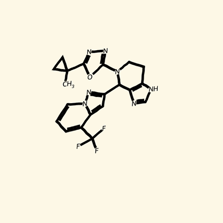 CC1(c2nnc(N3CCc4[nH]cnc4C3c3cc4c(C(F)(F)F)cccn4n3)o2)CC1